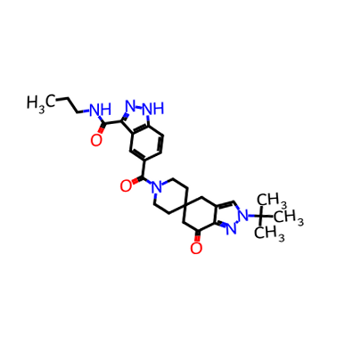 CCCNC(=O)c1n[nH]c2ccc(C(=O)N3CCC4(CC3)CC(=O)c3nn(C(C)(C)C)cc3C4)cc12